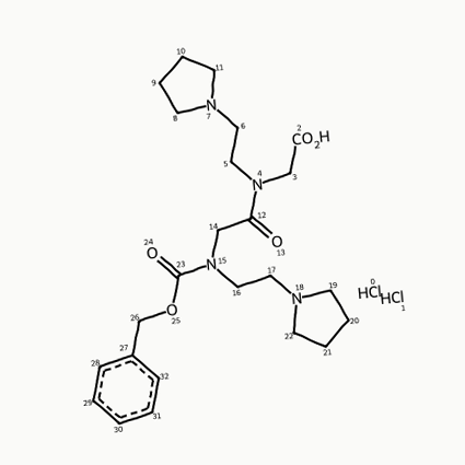 Cl.Cl.O=C(O)CN(CCN1CCCC1)C(=O)CN(CCN1CCCC1)C(=O)OCc1ccccc1